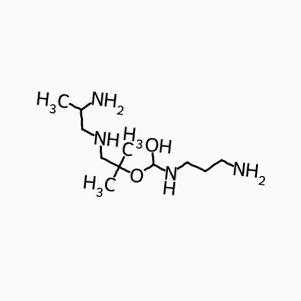 CC(N)CNCC(C)(C)OC(O)NCCCN